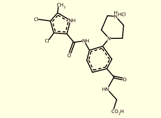 Cc1[nH]c(C(=O)Nc2ccc(C(=O)NCC(=O)O)cc2N2CCNCC2)c(Cl)c1Cl.Cl